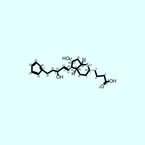 O=C(O)CCC[C@@H]1CC[C@@H]2[C@@H](/C=C/[C@@H](O)CCc3ccccc3)[C@H](O)C[C@@H]2S1